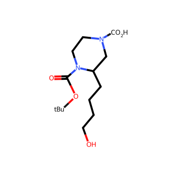 CC(C)(C)OC(=O)N1CCN(C(=O)O)CC1CCCCO